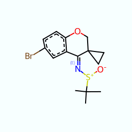 CC(C)(C)[S+]([O-])/N=C1/c2cc(Br)ccc2OCC12CC2